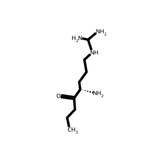 CCCC(=O)[C@@H](N)CCCNC(N)N